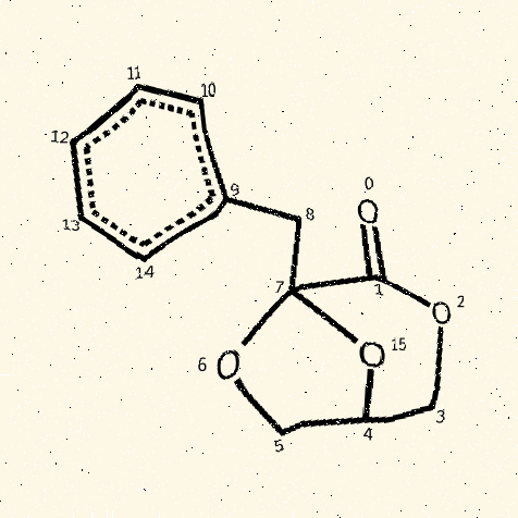 O=C1OCC2COC1(Cc1ccccc1)O2